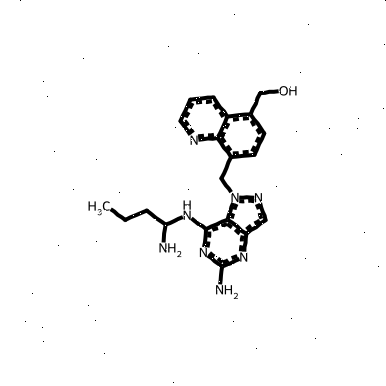 CCCC(N)Nc1nc(N)nc2cnn(Cc3ccc(CO)c4cccnc34)c12